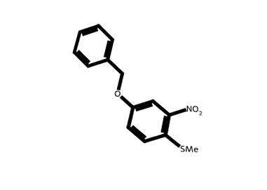 CSc1ccc(OCc2ccccc2)cc1[N+](=O)[O-]